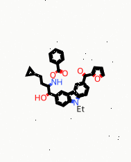 CCn1c2ccc(C(=O)c3ccco3)cc2c2cc(C(O)C(CCC3CC3)NOC(=O)c3ccccc3)ccc21